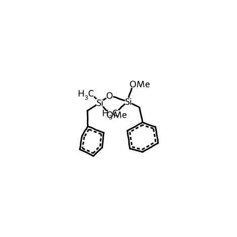 CO[Si](C)(Cc1ccccc1)O[Si](C)(Cc1ccccc1)OC